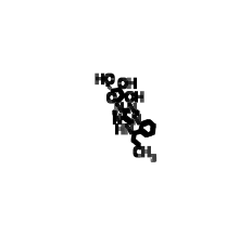 CCCC(Nc1ncnc2c1ncn2[C@@H]1O[C@H](CO)C(O)C1O)c1ccccc1